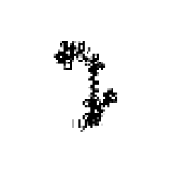 CC(C(=O)c1cccc(Cl)c1)N(C(=O)OCOC(=O)C(=O)OCCCCCCOC(=O)c1cc(S(N)(=O)=O)c(Cl)cc1NCc1ccco1)C(C)(C)C